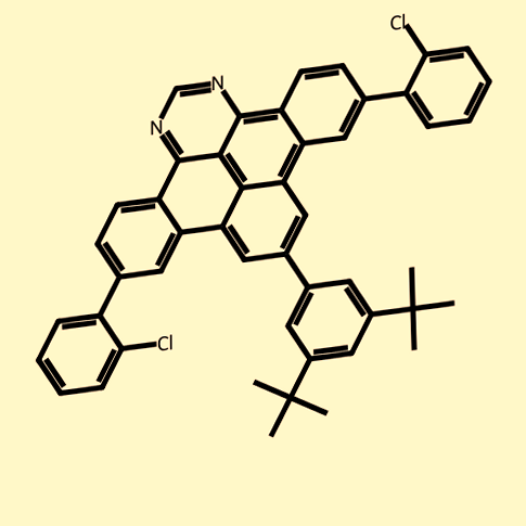 CC(C)(C)c1cc(-c2cc3c4cc(-c5ccccc5Cl)ccc4c4ncnc5c6ccc(-c7ccccc7Cl)cc6c(c2)c3c45)cc(C(C)(C)C)c1